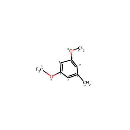 [CH2]c1cc(OC(F)(F)F)cc(OC(F)(F)F)c1